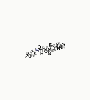 CC(=O)Oc1ccc(/C=C/C(=O)NCC2CN(c3ccc(C4=NNC(=O)CS4)cc3F)C(=O)O2)cc1